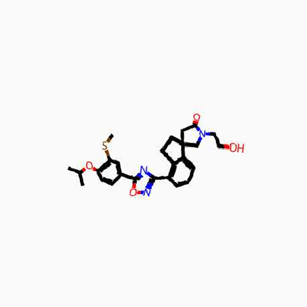 CSc1cc(-c2nc(-c3cccc4c3CCC43CC(=O)N(CCO)C3)no2)ccc1OC(C)C